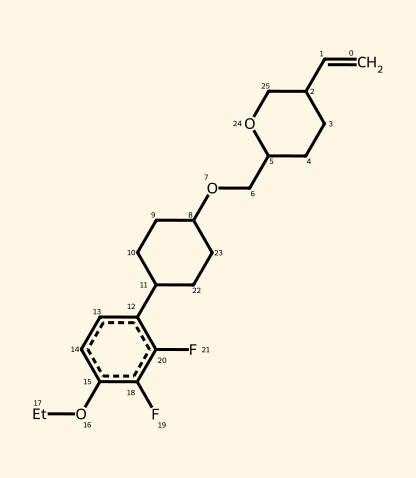 C=CC1CCC(COC2CCC(c3ccc(OCC)c(F)c3F)CC2)OC1